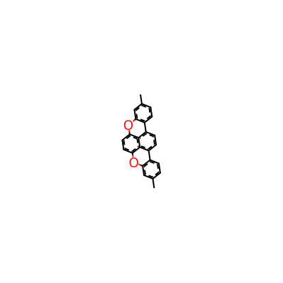 Cc1ccc2c(c1)Oc1ccc3c4c(ccc-2c14)-c1ccc(C)cc1O3